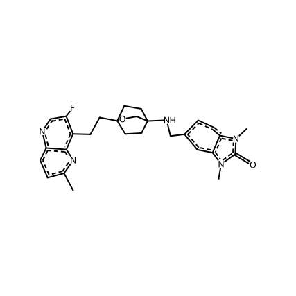 Cc1ccc2ncc(F)c(CCC34CCC(NCc5ccc6c(c5)n(C)c(=O)n6C)(CC3)CO4)c2n1